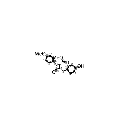 COC(=O)[C@@H]1[C@H](Cc2ccc(O)cc2)C(=O)N1c1ccc(OC)cc1